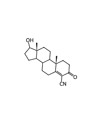 C[C@@]12CCC3C(CCC4=C(C#N)C(=O)CC[C@]43C)C1CCC2O